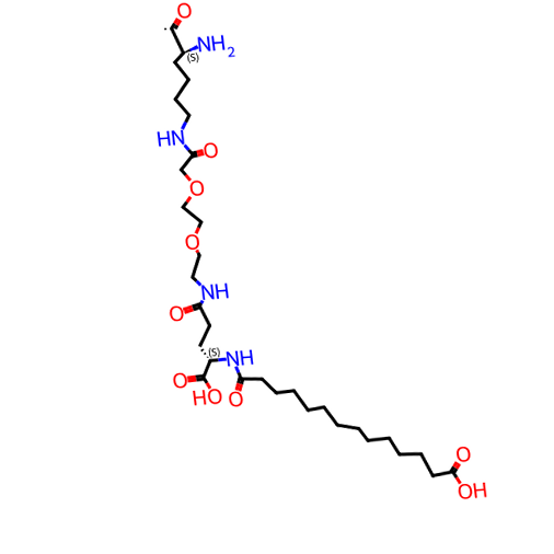 N[C@H]([C]=O)CCCCNC(=O)COCCOCCNC(=O)CC[C@H](NC(=O)CCCCCCCCCCCCC(=O)O)C(=O)O